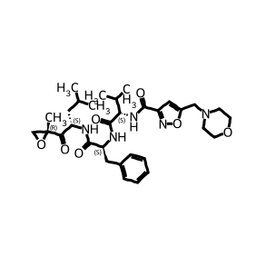 CC(C)C[C@H](NC(=O)[C@H](Cc1ccccc1)NC(=O)[C@@H](NC(=O)c1cc(CN2CCOCC2)on1)C(C)C)C(=O)[C@@]1(C)CO1